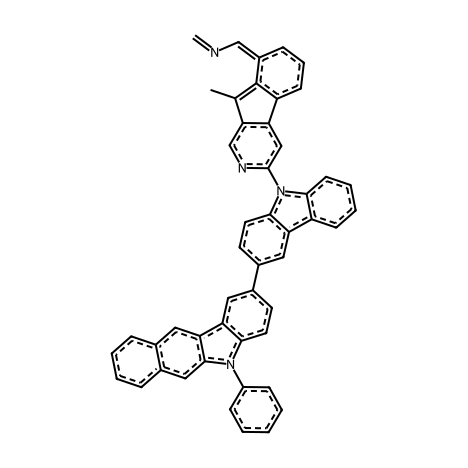 C=N/C=c1/cccc2c1=C(C)c1cnc(-n3c4ccccc4c4cc(-c5ccc6c(c5)c5cc7ccccc7cc5n6-c5ccccc5)ccc43)cc1-2